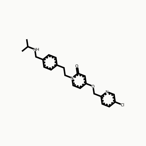 CC(C)NCc1ccc(CCn2ccc(OCc3ccc(Cl)cn3)cc2=O)cc1